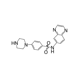 O=S(=O)(Nc1ccc2nccnc2c1)c1ccc(N2CCNCC2)cc1